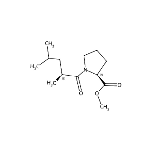 COC(=O)[C@@H]1CCCN1C(=O)[C@@H](C)CC(C)C